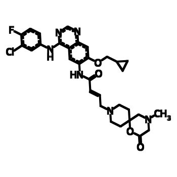 CN1CC(=O)OC2(CCN(C/C=C/C(=O)Nc3cc4c(Nc5ccc(F)c(Cl)c5)ncnc4cc3OCC3CC3)CC2)C1